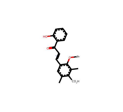 Cc1cc(/C=C/C(=O)c2ccccc2O)c(OC(C)C)c(C)c1C(=O)O